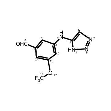 O=Cc1cc(Nc2cnn[nH]2)cc(OC(F)(F)F)c1